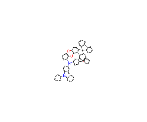 c1ccc(-c2ccc(N(c3ccc4c(c3)c3ccccc3n4-c3ccccc3)c3cccc4c3Oc3c(ccc5c3-c3ccccc3C53c5ccccc5-c5ccccc53)O4)cc2)cc1